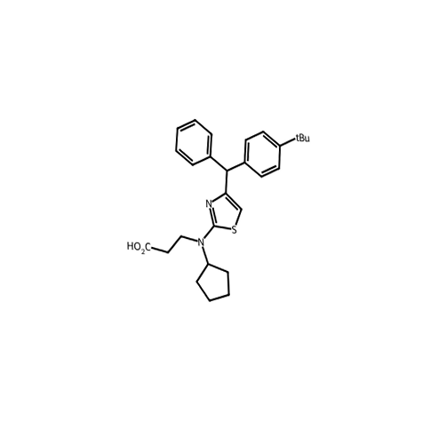 CC(C)(C)c1ccc(C(c2ccccc2)c2csc(N(CCC(=O)O)C3CCCC3)n2)cc1